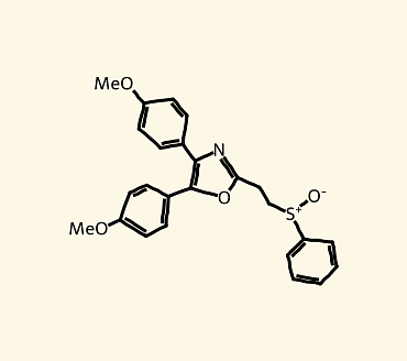 COc1ccc(-c2nc(CC[S+]([O-])c3ccccc3)oc2-c2ccc(OC)cc2)cc1